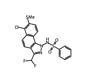 CSc1ccc2c(ccc3c(C(F)F)nn(NS(=O)(=O)c4ccccc4)c32)c1Cl